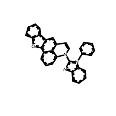 C1=CN(c2nc3ccccc3n2-c2ccccc2)c2cccc3c2c1cc1c2ccccc2oc31